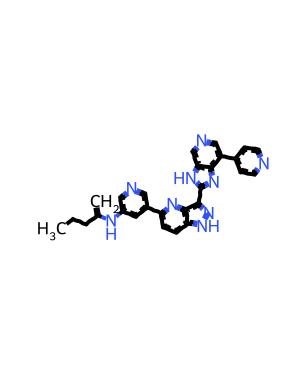 C=C(CCC)Nc1cncc(-c2ccc3[nH]nc(-c4nc5c(-c6ccncc6)cncc5[nH]4)c3n2)c1